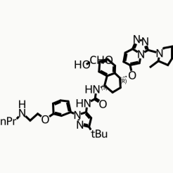 CCCNCCOc1cccc(-n2nc(C(C)(C)C)cc2NC(=O)N[C@H]2CC[C@@H](Oc3ccc4nnc(N5CCCCC5C)n4c3)c3ccccc32)c1.O=CO